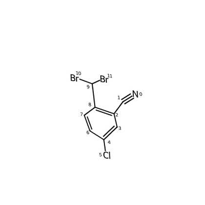 N#Cc1cc(Cl)ccc1C(Br)Br